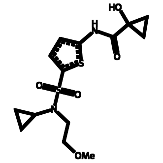 COCCN(C1CC1)S(=O)(=O)c1ccc(NC(=O)C2(O)CC2)s1